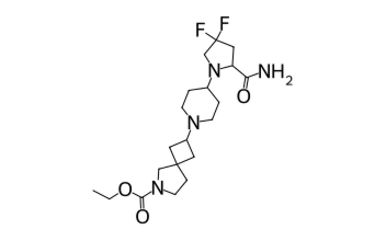 CCOC(=O)N1CCC2(CC(N3CCC(N4CC(F)(F)CC4C(N)=O)CC3)C2)C1